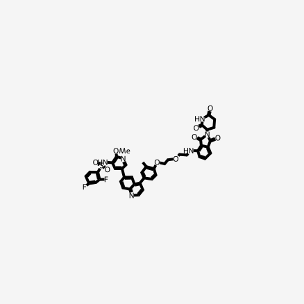 COc1ncc(-c2ccc3nccc(-c4ccc(OCCOCCNc5cccc6c5C(=O)N(C5CCC(=O)NC5=O)C6=O)c(C)c4)c3c2)cc1NS(=O)(=O)c1ccc(F)cc1F